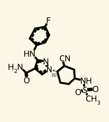 CS(=O)(=O)NC1CC[C@H](n2cc(C(N)=O)c(Nc3ccc(F)cc3)n2)C(C#N)C1